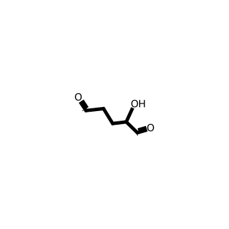 O=[C]CCC(O)[C]=O